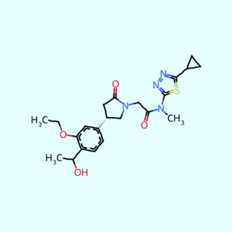 CCOc1cc([C@@H]2CC(=O)N(CC(=O)N(C)c3nnc(C4CC4)s3)C2)ccc1C(C)O